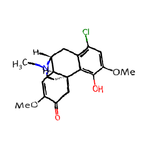 COC1=C[C@H]2[C@H]3Cc4c(Cl)cc(OC)c(O)c4[C@@]2(CCN3C)CC1=O